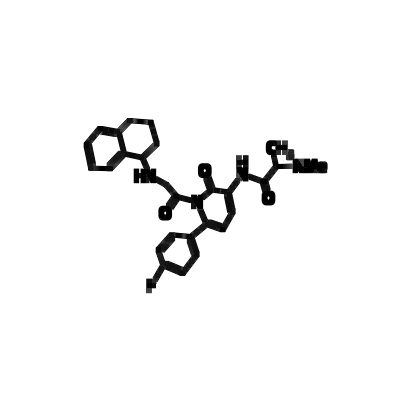 CNC(C)C(=O)Nc1ccc(-c2ccc(F)cc2)n(C(=O)CNC2CCCc3ccccc32)c1=O